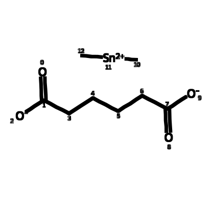 O=C([O-])CCCCC(=O)[O-].[CH3][Sn+2][CH3]